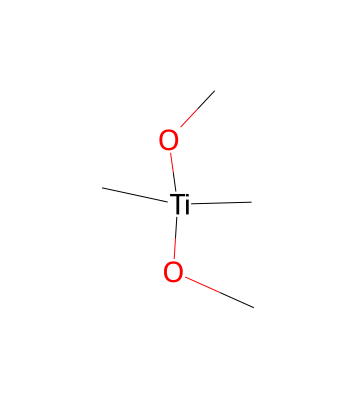 C[O][Ti]([CH3])([CH3])[O]C